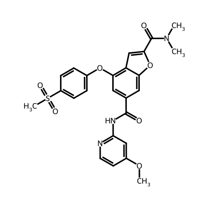 COc1ccnc(NC(=O)c2cc(Oc3ccc(S(C)(=O)=O)cc3)c3cc(C(=O)N(C)C)oc3c2)c1